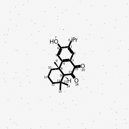 CC(C)c1cc2c(cc1O)[C@@]1(C)CCCC(C)(C)[C@@H]1C(=O)C2=O